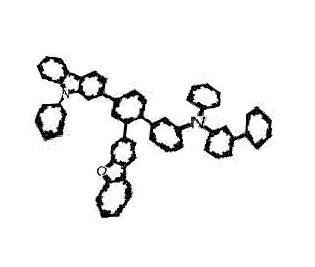 c1ccc(-c2cccc(N(c3ccccc3)c3cccc(-c4ccc(-c5ccc6c7ccccc7n(-c7ccccc7)c6c5)cc4-c4ccc5c(c4)oc4ccccc45)c3)c2)cc1